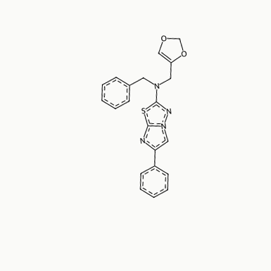 C1=C(CN(Cc2ccccc2)c2nn3cc(-c4ccccc4)nc3s2)OCO1